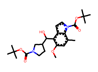 COc1cc(C)c2c(ccn2C(=O)OC(C)(C)C)c1C(O)C1CCN(C(=O)OC(C)(C)C)C1